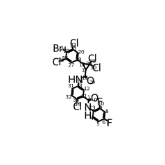 O=C(Nc1ccc(F)cc1F)c1cc(NC(=O)C2C(c3cc(Cl)c(Br)c(Cl)c3)C2(Cl)Cl)ccc1Cl